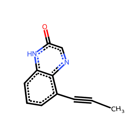 CC#Cc1cccc2[nH]c(=O)cnc12